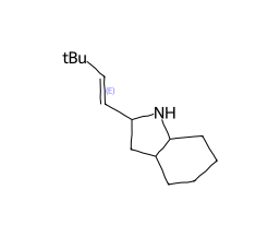 CC(C)(C)/C=C/C1CC2CCCCC2N1